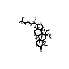 COC1(OC)C[C@H]2N(C)C(=O)CC[C@]2(C)[C@H]2CC[C@]3(C)[C@@H]([C@H](C)CCCC(C)C)CC[C@H]3[C@@H]21